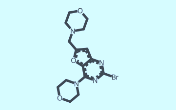 Brc1nc(N2CCOCC2)c2oc(CN3CCOCC3)cc2n1